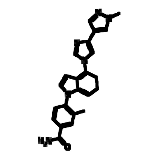 Cc1cc(C(N)=O)ccc1-n1ccc2c1=CCCC=2n1cnc(-c2cnn(C)c2)c1